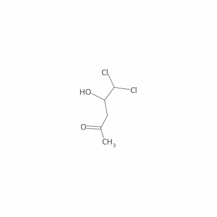 CC(=O)CC(O)C(Cl)Cl